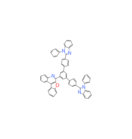 c1ccc(-n2c(-c3ccc(-c4cc(-c5ccc(-c6nc7ccccc7n6-c6ccccc6)cc5)cc(-c5nc6ccccc6c6c5oc5ccccc56)c4)cc3)nc3ccccc32)cc1